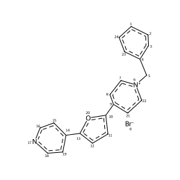 [Br-].c1ccc(C[n+]2ccc(-c3ccc(-c4ccncc4)o3)cc2)cc1